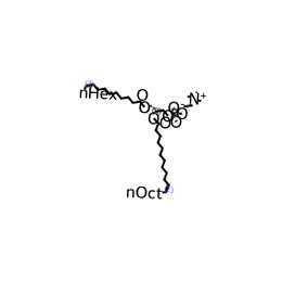 CCCCCC/C=C\CCCCCCCC(=O)OC[C@H](COP(=O)([O-])OCC[N+](C)(C)C)OC(=O)CCCCCCCCC/C=C\CCCCCCCC